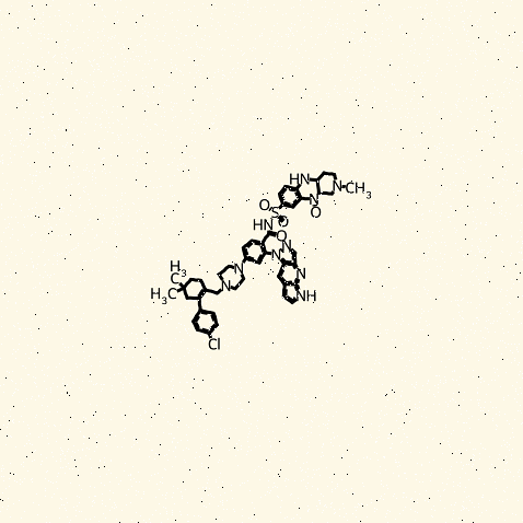 CN1CCC(Nc2ccc(S(=O)(=O)NC(=O)c3ccc(N4CCN(CC5=C(c6ccc(Cl)cc6)CC(C)(C)CC5)CC4)cc3-n3ncc4nc5[nH]ccc5cc43)cc2N=O)CC1